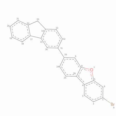 Brc1ccc2c(c1)oc1cc(-c3ccc4c(c3)-c3ccccc3C4)ccc12